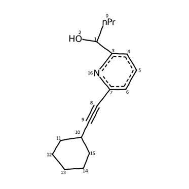 CCCC(O)c1cccc(C#CC2CCCCC2)n1